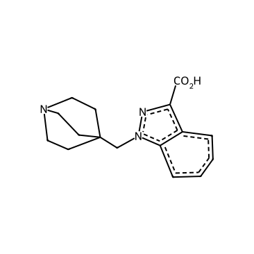 O=C(O)c1nn(CC23CCN(CC2)CC3)c2ccccc12